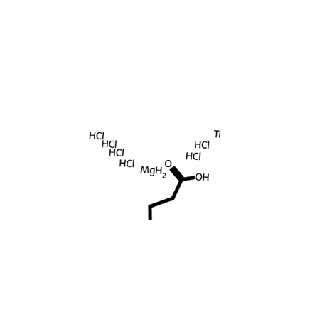 CCCC(=O)O.Cl.Cl.Cl.Cl.Cl.Cl.[MgH2].[Ti]